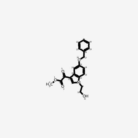 COC(=O)C(=O)c1cn(CCO)c2ccc(OCc3ccccc3)cc12